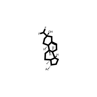 CC(=O)[C@H]1CC[C@H]2[C@@H]3CC=C4C[C@@](O)(C(F)F)CC[C@@H]4[C@H]3CC[C@]12C